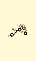 CC(CCCc1ccc(F)cc1)c1cc(O)c2c(c1)OC(C)(C)C1=C2CN(Cc2ccccc2)CC1